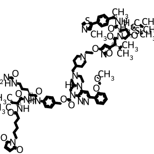 COCOc1ccccc1-c1cc2c(nn1)N(C(=O)OCc1ccc(NC(=O)[C@H](CCCNC(N)=O)NC(=O)[C@@H](NC(=O)CCCCCN3C(=O)C=CC3=O)C(C)C)cc1)C[C@H]1CN(CC3CCN(CCOc4cc([C@H](C(=O)N5C[C@H](O[Si](C)(C)C(C)(C)C)C[C@H]5C(=O)N[C@@H](C)c5ccc(-c6scnc6C)cc5)C(C)C)on4)CC3)CCN21